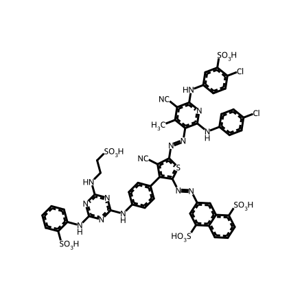 Cc1c(C#N)c(Nc2ccc(Cl)c(S(=O)(=O)O)c2)nc(Nc2ccc(Cl)cc2)c1N=Nc1sc(/N=N/c2cc(S(=O)(=O)O)c3cccc(S(=O)(=O)O)c3c2)c(-c2ccc(Nc3nc(NCCS(=O)(=O)O)nc(Nc4ccccc4S(=O)(=O)O)n3)cc2)c1C#N